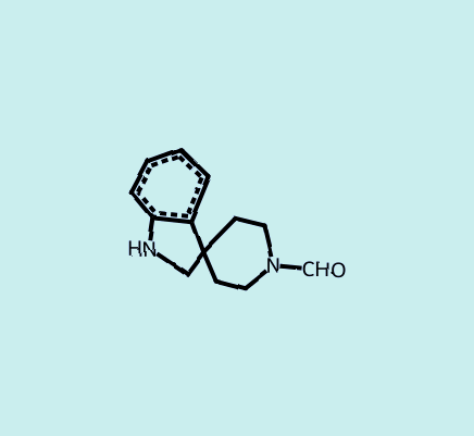 O=CN1CCC2(CC1)CNc1ccccc12